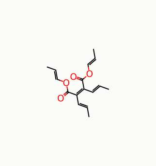 CC=COC(=O)C(C=CC)=C(C=CC)C(=O)OC=CC